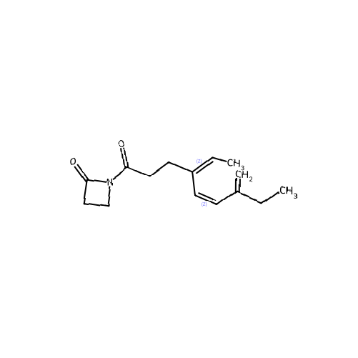 C=C(/C=C\C(=C/C)CCC(=O)N1CCC1=O)CC